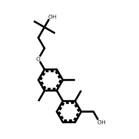 Cc1cc(OCCC(C)(C)O)cc(C)c1-c1cccc(CO)c1C